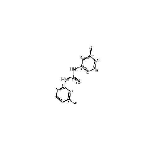 Cc1cccc(NC(=S)Nc2cccc(C)c2)c1